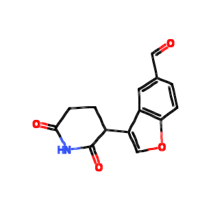 O=Cc1ccc2occ(C3CCC(=O)NC3=O)c2c1